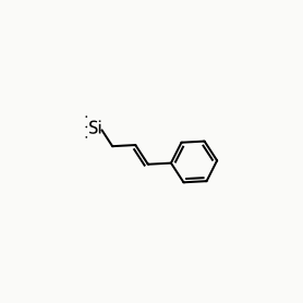 [Si]CC=Cc1ccccc1